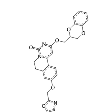 O=c1nc(OCC2COc3ccccc3O2)cc2n1CCc1cc(OCc3ncco3)ccc1-2